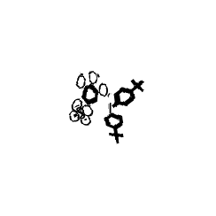 CC(C)(C)c1ccc([I+]c2ccc(C(C)(C)C)cc2)cc1.COc1cc(OS(=O)(=O)[O-])cc(OC)c1OC